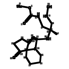 CC(C)(C)OC(=O)NC[C@](C)(CNO)NC(=O)N1CCCCC12C(=O)CCC2=O